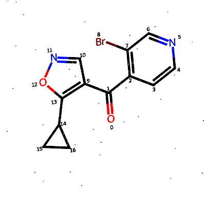 O=C(c1ccncc1Br)c1cnoc1C1CC1